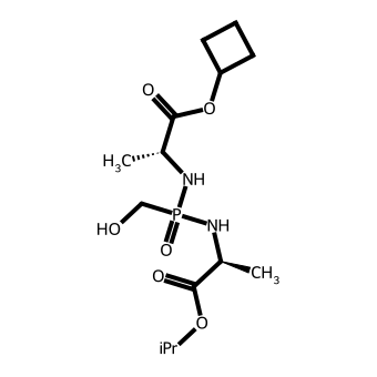 CC(C)OC(=O)[C@H](C)NP(=O)(CO)N[C@H](C)C(=O)OC1CCC1